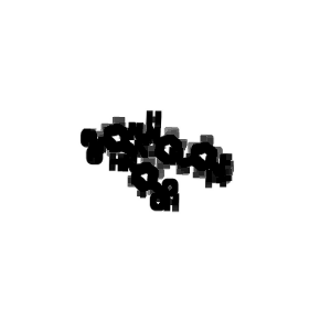 O=C(O)c1ccc(Nc2nc(NC3CCN(Cc4cccc(C(F)(F)F)c4)CC3)nc3ccc([N+](=O)[O-])cc23)cc1